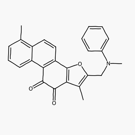 Cc1c(CN(C)c2ccccc2)oc2c1C(=O)C(=O)c1c-2ccc2c(C)cccc12